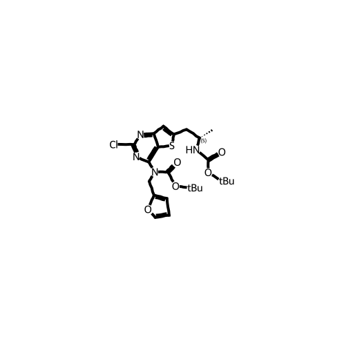 C[C@@H](Cc1cc2nc(Cl)nc(N(Cc3ccco3)C(=O)OC(C)(C)C)c2s1)NC(=O)OC(C)(C)C